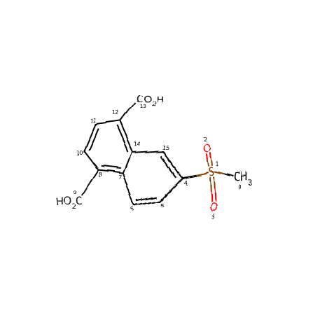 CS(=O)(=O)c1ccc2c(C(=O)O)ccc(C(=O)O)c2c1